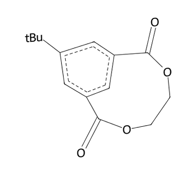 CC(C)(C)c1cc2cc(c1)C(=O)OCCOC2=O